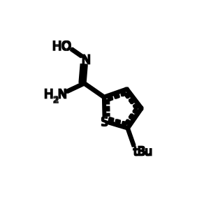 CC(C)(C)c1ccc(/C(N)=N/O)s1